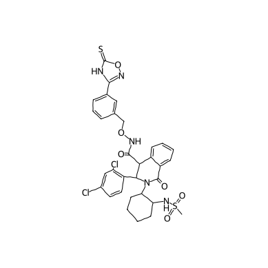 CS(=O)(=O)NC1CCCCC1N1C(=O)c2ccccc2C(C(=O)NOCc2cccc(-c3noc(=S)[nH]3)c2)C1c1ccc(Cl)cc1Cl